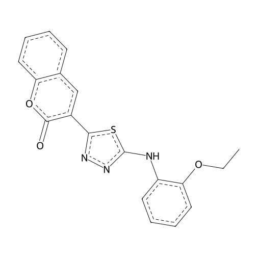 CCOc1ccccc1Nc1nnc(-c2cc3ccccc3oc2=O)s1